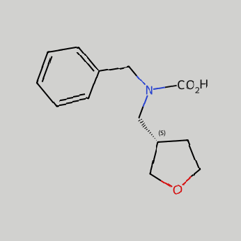 O=C(O)N(Cc1ccccc1)C[C@@H]1CCOC1